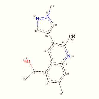 Cc1cc(C(C)O)c2cc(-c3cnn(C)c3)c(C#N)nc2c1